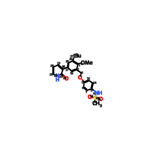 COc1c(COc2ccc(NS(C)(=O)=O)cc2)cc(-c2ccc[nH]c2=O)cc1C(C)(C)C